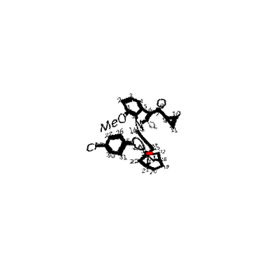 COc1cccc2c(C(=O)C3CC3)cn(CCCN3C4CCC3CC(Oc3ccc(Cl)cc3)C4)c12